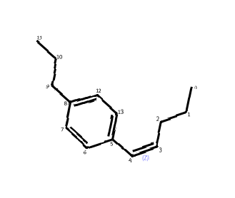 CCC/C=[C]\c1ccc(CCC)cc1